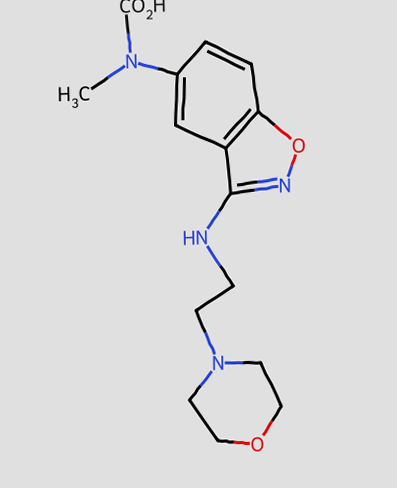 CN(C(=O)O)c1ccc2onc(NCCN3CCOCC3)c2c1